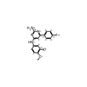 COc1ccc(Nc2cc(-c3ccc(F)cc3)nc(N)n2)cc1Cl